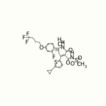 C[C@@]1(c2ccc(OCCCC(F)(F)F)cc2F)CC(c2ccc(C3CC3)s2)=C(C(=O)NS(C)(=O)=O)C(=O)N1